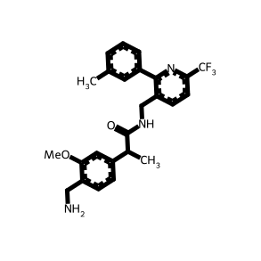 COc1cc(C(C)C(=O)NCc2ccc(C(F)(F)F)nc2-c2cccc(C)c2)ccc1CN